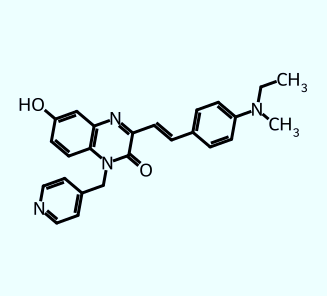 CCN(C)c1ccc(/C=C/c2nc3cc(O)ccc3n(Cc3ccncc3)c2=O)cc1